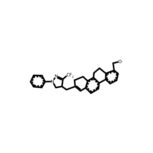 [O]Cc1cccc2c1CCc1c-2ccc2c1CCC(CC1CN(c3ccccc3)N=C1C(F)(F)F)=C2